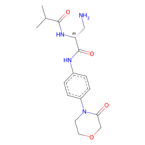 CC(C)C(=O)N[C@H](CN)C(=O)Nc1ccc(N2CCOCC2=O)cc1